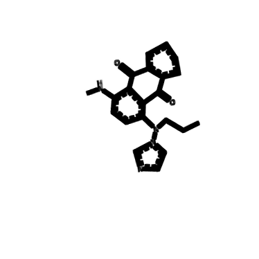 CCCN(c1ccc(NC)c2c1C(=O)c1ccccc1C2=O)n1ccnc1